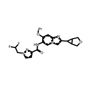 CC(C)Oc1cc2nc(C3C4COCC43)cn2cc1NC(=O)c1ccn(CC(F)F)n1